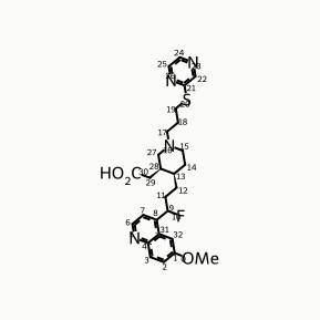 COc1ccc2nccc(C(F)CC[C@@H]3CCN(CCCSc4cnccn4)C[C@@H]3CC(=O)O)c2c1